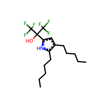 CCCCCc1cc(C(O)(C(F)(F)F)C(F)(F)F)[nH]c1CCCCC